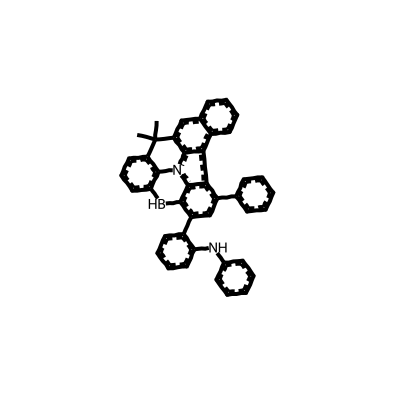 CC1(C)c2cccc3c2-n2c4c(c(-c5ccccc5Nc5ccccc5)cc(-c5ccccc5)c4c4c5ccccc5cc1c42)B3